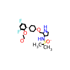 CC(C)[S+]([O-])NC1CCNC1CO[C@H]1CC[C@@H](c2cc(F)cc(F)c2OCC=O)CC1